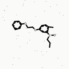 CCC[S+]([O-])c1cc(OCCOc2ccccc2)ccc1C